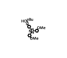 CCCCC(O)COc1ccc(-c2nc(-c3cccc(OC)c3)nc(-c3cccc(OC)c3)n2)cc1